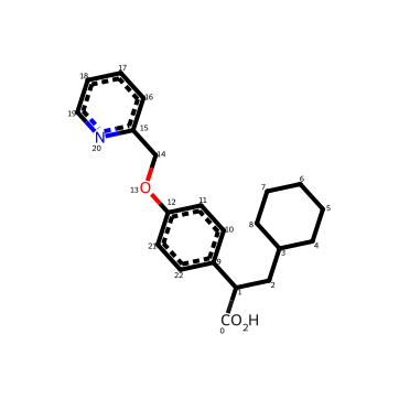 O=C(O)C(CC1CCCCC1)c1ccc(OCc2ccccn2)cc1